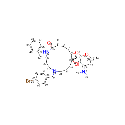 CC1CCC(OC2C[C@@H](N(C)C)C[C@@H](C)O2)[C@](C)(O)CCCN(Cc2ccc(Br)cc2)CCC(Cc2ccccc2)NC1=O